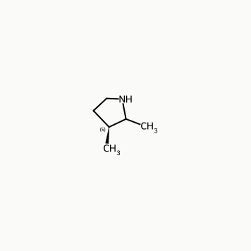 CC1NCC[C@@H]1C